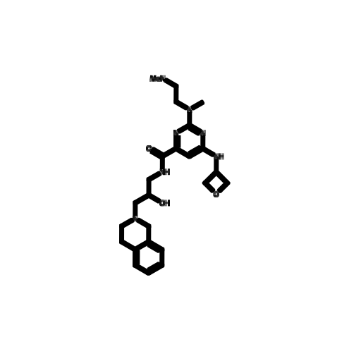 CNCCN(C)c1nc(NC2COC2)cc(C(=O)NCC(O)CN2CCc3ccccc3C2)n1